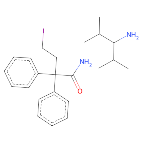 CC(C)C(N)C(C)C.NC(=O)C(CCI)(c1ccccc1)c1ccccc1